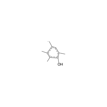 [CH2]c1cc(C)c(O)c(C)c1C